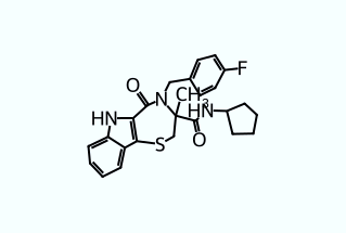 CC1(C(=O)NC2CCCC2)CSc2c([nH]c3ccccc23)C(=O)N1Cc1ccc(F)cc1